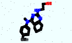 COc1ccc(N(C)c2nc(NCCO)nc3c2CCCC3)cc1